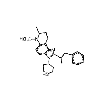 CC(Cc1ccccc1)c1nc2c3c(ccc2n1C1CCNCC1)N(C(=O)O)C(C)CC3